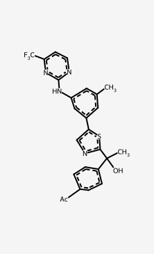 CC(=O)c1ccc(C(C)(O)c2ncc(-c3cc(C)cc(Nc4nccc(C(F)(F)F)n4)c3)s2)cc1